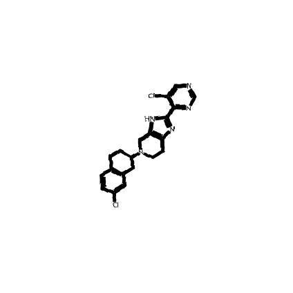 Clc1ccc2c(c1)CC(N1CCc3nc(-c4ncncc4Cl)[nH]c3C1)CC2